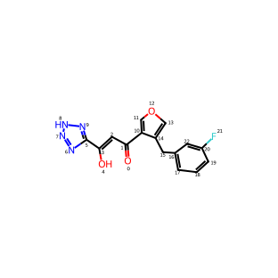 O=C(C=C(O)c1nn[nH]n1)c1cocc1Cc1cccc(F)c1